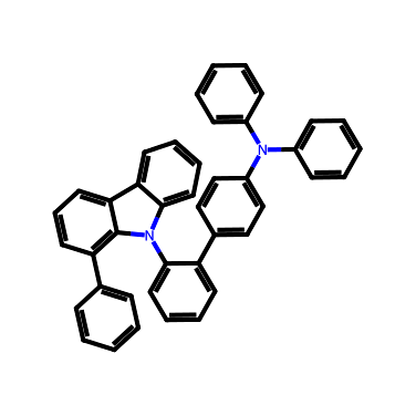 c1ccc(-c2cccc3c4ccccc4n(-c4ccccc4-c4ccc(N(c5ccccc5)c5ccccc5)cc4)c23)cc1